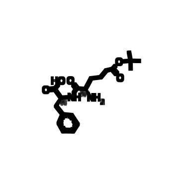 CC(C)(C)OC(=O)CCC[C@H](N)C(=O)N[C@@H](Cc1ccccc1)C(=O)O